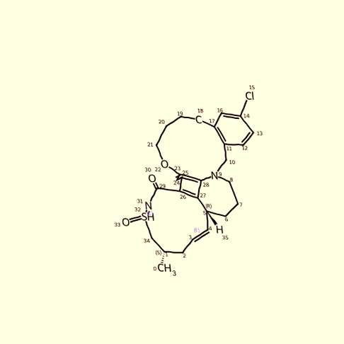 C[C@H]1C/C=C/[C@H]2CCCN3Cc4ccc(Cl)cc4CCCCOc4ccc(c2c43)C(=O)/N=[SH](=O)\C1